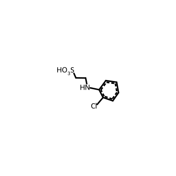 O=S(=O)(O)CCNc1ccccc1Cl